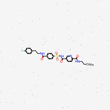 COCCNC(=O)c1ccc(C(=O)NS(=O)(=O)c2ccc(C(=O)NCCc3ccc(F)cc3)cc2)cn1